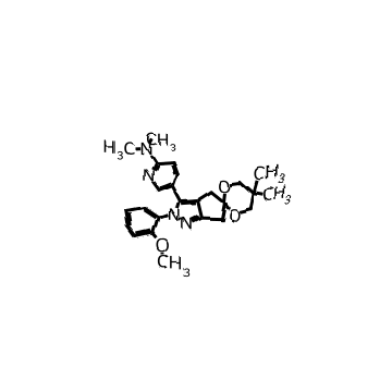 COc1ccccc1-n1nc2c(c1-c1ccc(N(C)C)nc1)CC1(C2)OCC(C)(C)CO1